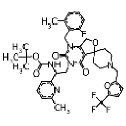 Cc1cccc(C(Cn2c(=O)c3c(n(Cc4c(C)cccc4F)c2=O)COC32CCN(Cc3ccc(C(F)(F)F)o3)CC2)NC(=O)OC(C)(C)C)n1